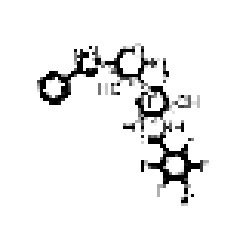 COc1c(F)c(F)c(C(=O)N[C@H]2[C@@H](O)[C@@H](CO)[SH]([C@@H]3COC[C@H](n4cc(-c5ccccc5)nn4)[C@H]3O)C[C@@H]2OC)c(F)c1F